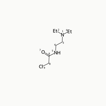 CCN(CC)CCNC(=O)CCl